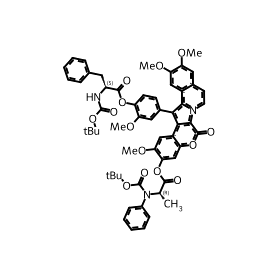 COc1cc2ccn3c(c(-c4ccc(OC(=O)[C@H](Cc5ccccc5)NC(=O)OC(C)(C)C)c(OC)c4)c4c5cc(OC)c(OC(=O)[C@@H](C)N(C(=O)OC(C)(C)C)c6ccccc6)cc5oc(=O)c43)c2cc1OC